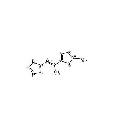 C/C(=N\c1cnc[nH]1)c1ccc(C)o1